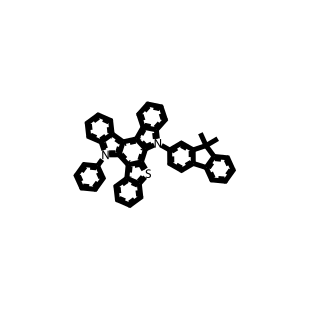 CC1(C)c2ccccc2-c2ccc(-n3c4ccccc4c4c5c6ccccc6n(-c6ccccc6)c5c5c6ccccc6sc5c43)cc21